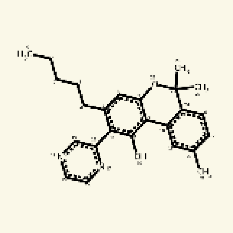 CCCCCc1cc2c(c(O)c1-c1cnccn1)-c1cc(C)ccc1C(C)(C)O2